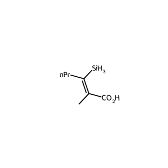 CCCC([SiH3])=C(C)C(=O)O